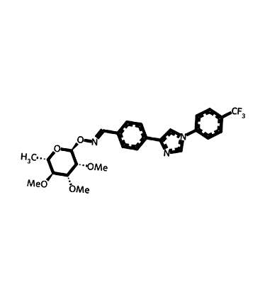 CO[C@@H]1[C@@H](OC)[C@H](C)O[C@@H](O/N=C/c2ccc(-c3cn(-c4ccc(C(F)(F)F)cc4)cn3)cc2)[C@@H]1OC